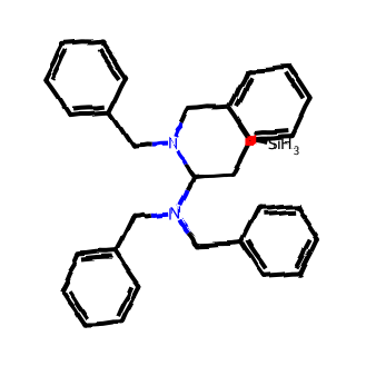 [SiH3]CCC(N(Cc1ccccc1)Cc1ccccc1)N(Cc1ccccc1)Cc1ccccc1